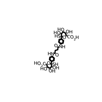 O=C(CCC(=O)Nc1ccc([C@]2(S)O[C@H](C(=O)O)[C@@H](O)[C@H](O)[C@H]2O)cc1)Nc1ccc([C@]2(S)O[C@H](C(=O)O)[C@@H](O)[C@H](O)[C@H]2O)cc1